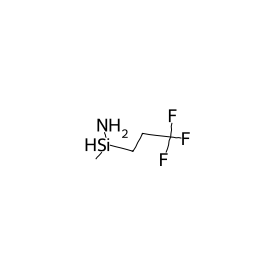 C[SiH](N)CCC(F)(F)F